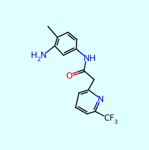 Cc1ccc(NC(=O)Cc2cccc(C(F)(F)F)n2)cc1N